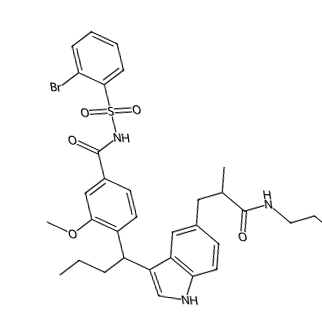 CCCNC(=O)C(C)Cc1ccc2[nH]cc(C(CCC)c3ccc(C(=O)NS(=O)(=O)c4ccccc4Br)cc3OC)c2c1